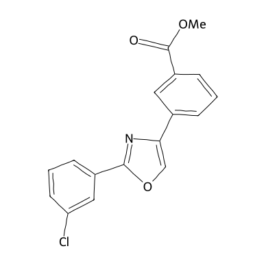 COC(=O)c1cccc(-c2coc(-c3cccc(Cl)c3)n2)c1